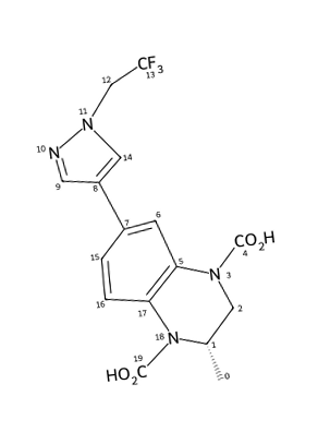 C[C@H]1CN(C(=O)O)c2cc(-c3cnn(CC(F)(F)F)c3)ccc2N1C(=O)O